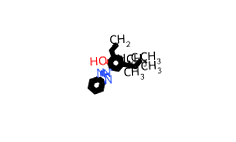 C=CCc1cc(C(C)(C)CC(C)(C)C)cc(-n2nc3ccccc3n2)c1O